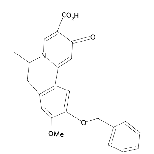 COc1cc2c(cc1OCc1ccccc1)-c1cc(=O)c(C(=O)O)cn1C(C)C2